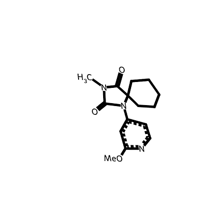 COc1cc(N2C(=O)N(C)C(=O)C23CCCCC3)ccn1